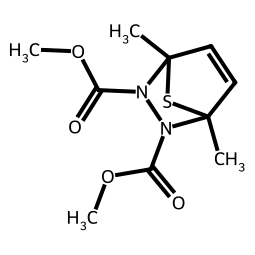 COC(=O)N1N(C(=O)OC)C2(C)C=CC1(C)S2